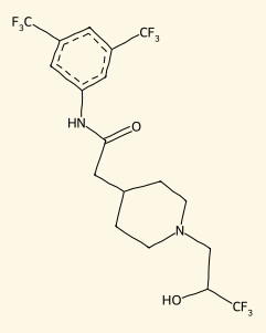 O=C(CC1CCN(CC(O)C(F)(F)F)CC1)Nc1cc(C(F)(F)F)cc(C(F)(F)F)c1